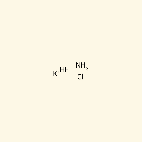 F.N.[Cl-].[K+]